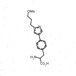 COCCCn1cc(-c2ccc(CC(N)C(=O)O)cc2)cn1